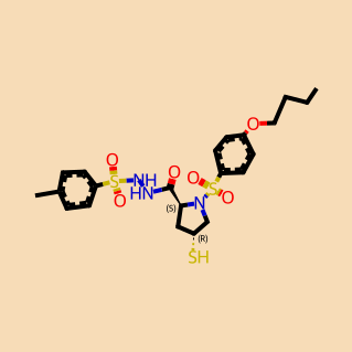 CCCCOc1ccc(S(=O)(=O)N2C[C@H](S)C[C@H]2C(=O)NNS(=O)(=O)c2ccc(C)cc2)cc1